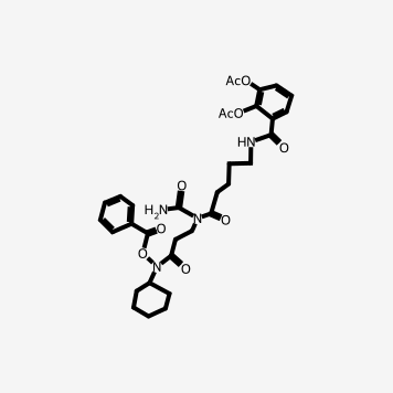 CC(=O)Oc1cccc(C(=O)NCCCCC(=O)N(CCC(=O)N(OC(=O)c2ccccc2)C2CCCCC2)C(N)=O)c1OC(C)=O